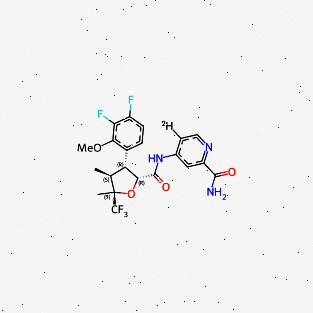 [2H]c1cnc(C(N)=O)cc1NC(=O)[C@@H]1O[C@@](C)(C(F)(F)F)[C@@H](C)[C@@H]1c1ccc(F)c(F)c1OC